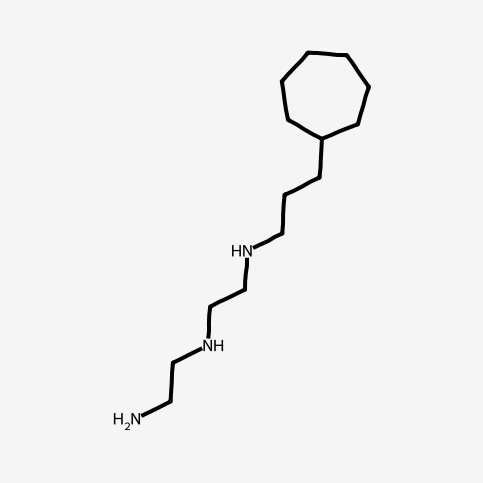 NCCNCCNCCCC1CCCCCC1